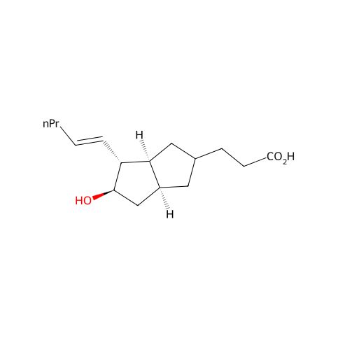 CCC/C=C/[C@@H]1[C@H]2CC(CCC(=O)O)C[C@H]2C[C@H]1O